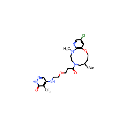 CSC1CCOc2cc(Cl)cnc2N(C)CCN(C(=O)CCOCCNc2cn[nH]c(=O)c2C(F)(F)F)C1